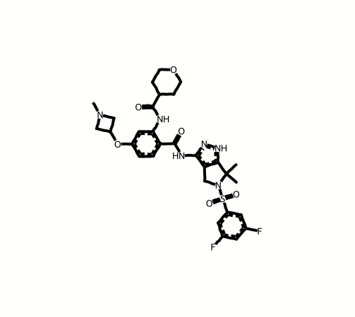 CN1CC(Oc2ccc(C(=O)Nc3n[nH]c4c3CN(S(=O)(=O)c3cc(F)cc(F)c3)C4(C)C)c(NC(=O)C3CCOCC3)c2)C1